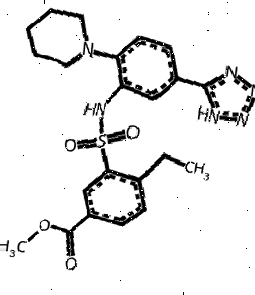 CCc1ccc(C(=O)OC)cc1S(=O)(=O)Nc1cc(-c2nnn[nH]2)ccc1N1CCCCC1